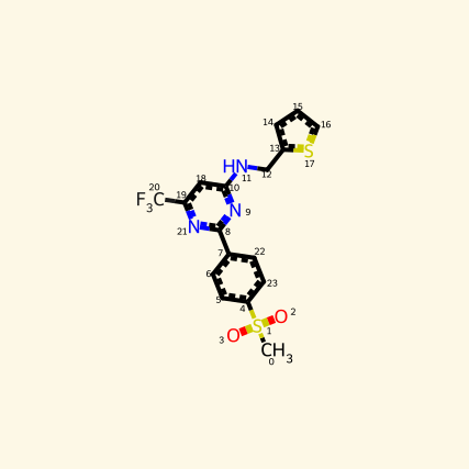 CS(=O)(=O)c1ccc(-c2nc(NCc3cccs3)cc(C(F)(F)F)n2)cc1